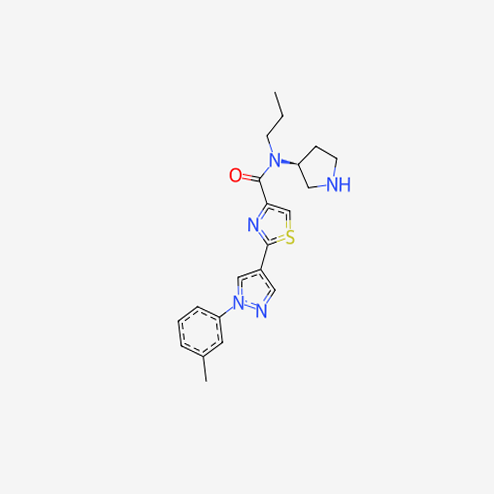 CCCN(C(=O)c1csc(-c2cnn(-c3cccc(C)c3)c2)n1)[C@H]1CCNC1